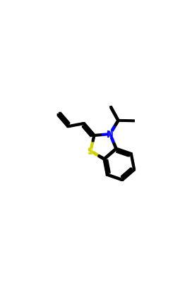 C=C/C=C1\Sc2ccccc2N1C(C)C